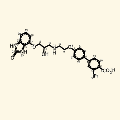 CC(C)c1cc(-c2ccc(OCCNCC(O)COc3cccc4[nH]c(=O)[nH]c34)cc2)ccc1C(=O)O